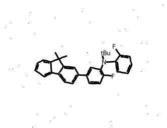 CC1(C)c2ccccc2-c2ccc(-c3ccc(F)c(N(c4ccccc4F)C(C)(C)C)c3)cc21